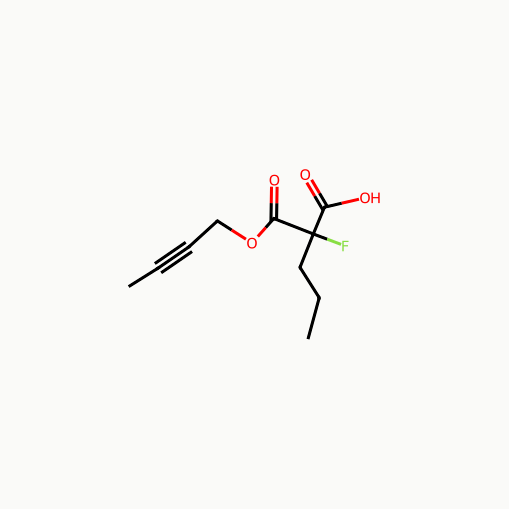 CC#CCOC(=O)C(F)(CCC)C(=O)O